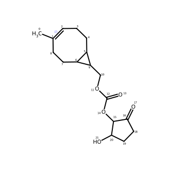 C/C1=C/CCC2C(CC1)C2COC(=O)OC1C(=O)CCC1O